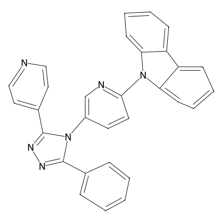 c1ccc(-c2nnc(-c3ccncc3)n2-c2ccc(-n3c4ccccc4c4ccccc43)nc2)cc1